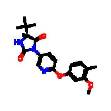 COc1cc(Oc2ccc(N3C(=O)N[C@H](C(C)(C)C)C3=O)cn2)ccc1C